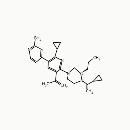 Bc1cc(-c2cc(C(=C)C)c(N3CCN(C(=C)C4CC4)[C@H](CCC)C3)nc2C2CC2)ccn1